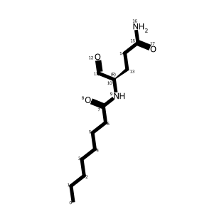 CCCCCCCC(=O)N[C@@H]([C]=O)CCC(N)=O